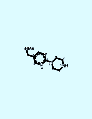 CNCc1cnc(N2CCNCC2)nc1